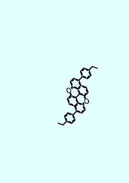 CCc1ccc(-c2ccc3oc4ccc5c(-c6ccc(CC)cc6)ccc6oc7ccc2c3c7-c4c65)cc1